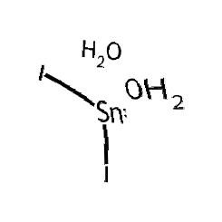 O.O.[I][Sn][I]